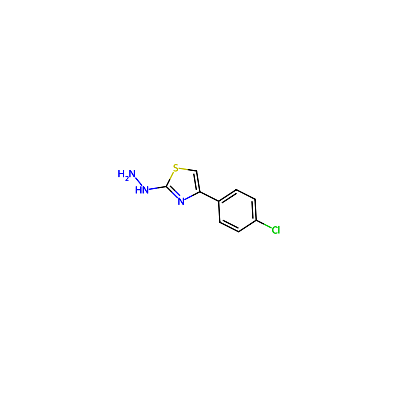 NNc1nc(-c2ccc(Cl)cc2)cs1